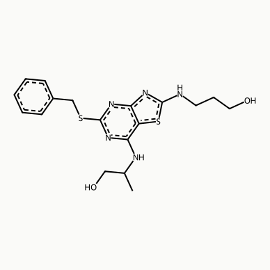 CC(CO)Nc1nc(SCc2ccccc2)nc2nc(NCCCO)sc12